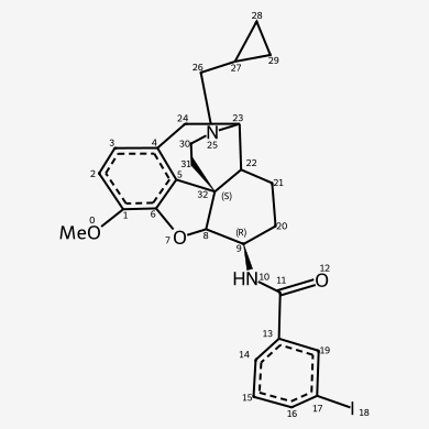 COc1ccc2c3c1OC1[C@H](NC(=O)c4cccc(I)c4)CCC4C(C2)N(CC2CC2)CC[C@@]341